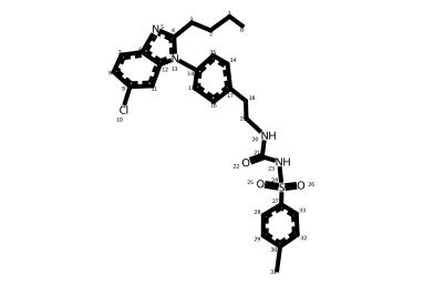 CCCCc1nc2ccc(Cl)cc2n1-c1ccc(CCNC(=O)NS(=O)(=O)c2ccc(C)cc2)cc1